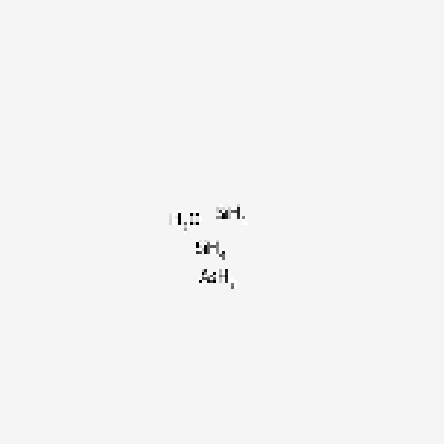 O.[AsH3].[SiH4].[SiH4]